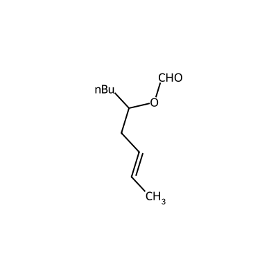 C/C=C/CC(CCCC)OC=O